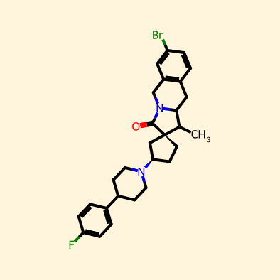 CC1C2Cc3ccc(Br)cc3CN2C(=O)[C@]12CC[C@@H](N1CCC(c3ccc(F)cc3)CC1)C2